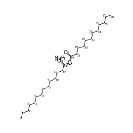 CCCCCCCCCCCCCC(=O)OC(=O)CCCCCCCCCCC.[NaH]